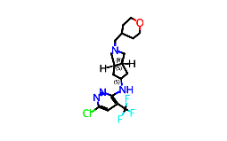 FC(F)(F)c1cc(Cl)nnc1N[C@H]1C[C@@H]2CN(CC3CCOCC3)C[C@@H]2C1